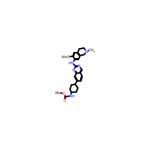 COc1cc2c(cc1Nc1ncc3ccc(C4CCC(NC(=O)OC(C)(C)C)CC4)cc3n1)CN(C)CC2